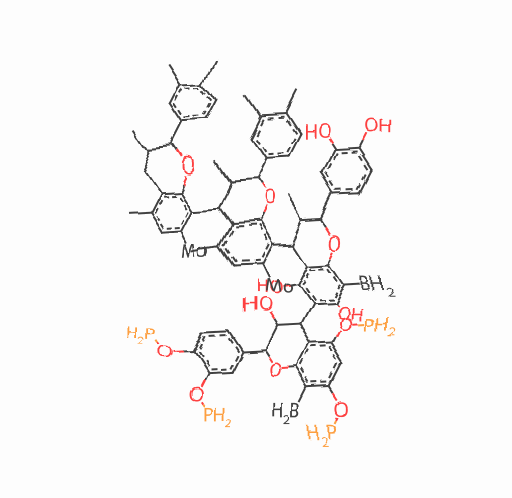 Bc1c(O)c(C2c3c(OP)cc(OP)c(B)c3OC(c3ccc(OP)c(OP)c3)C2O)c(O)c2c1OC(c1ccc(O)c(O)c1)C(C)C2c1[c]([Mo])cc(C)c2c1OC(c1ccc(C)c(C)c1)C(C)C2c1[c]([Mo])cc(C)c2c1OC(c1ccc(C)c(C)c1)C(C)C2